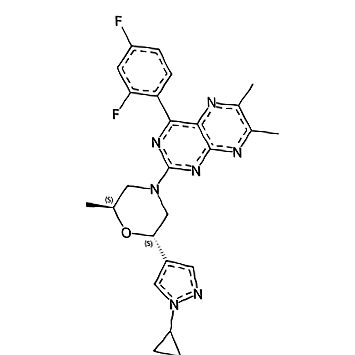 Cc1nc2nc(N3C[C@H](C)O[C@@H](c4cnn(C5CC5)c4)C3)nc(-c3ccc(F)cc3F)c2nc1C